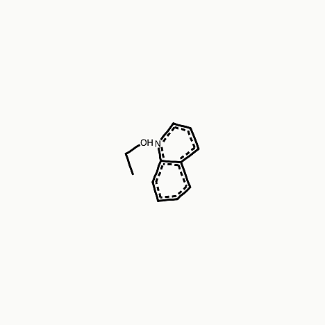 CCO.c1ccc2ncccc2c1